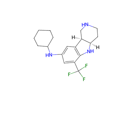 FC(F)(F)c1cc(NC2CCCCC2)cc2c1N[C@@H]1CCNC[C@H]21